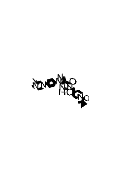 C[C@H]1CN(c2ccc(-n3ncc4c(=O)n(CC5(O)CCN(C(=O)C6(C)CC6)CC5)cnc43)cc2)CCN1C